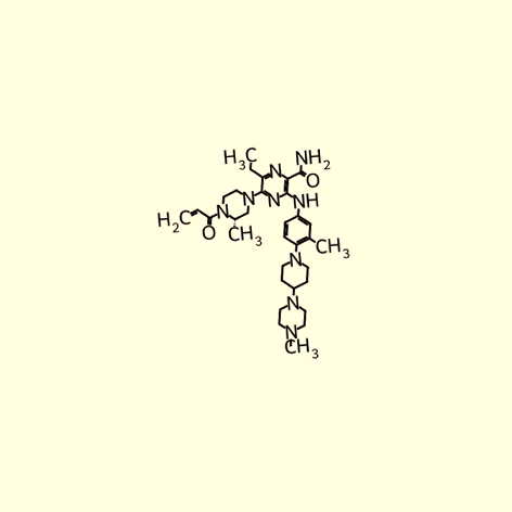 C=CC(=O)N1CCN(c2nc(Nc3ccc(N4CCC(N5CCN(C)CC5)CC4)c(C)c3)c(C(N)=O)nc2CC)C[C@@H]1C